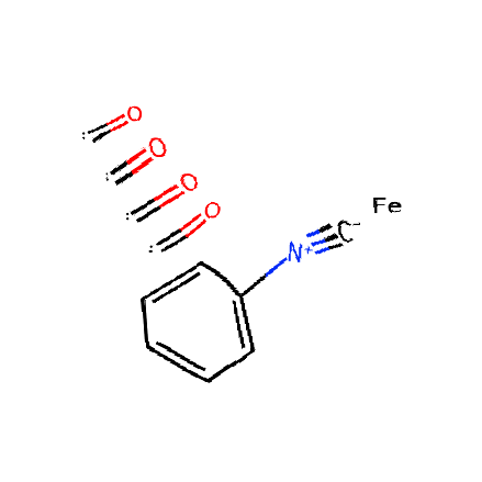 [C-]#[N+]c1ccccc1.[C]=O.[C]=O.[C]=O.[C]=O.[Fe]